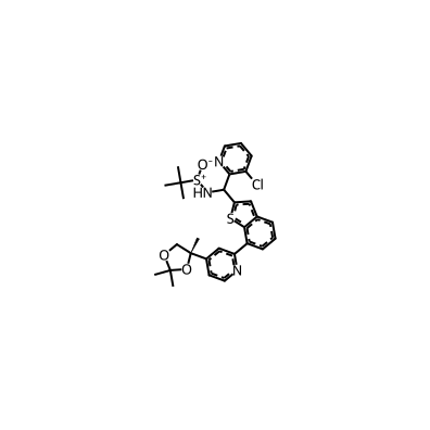 CC1(C)OC[C@](C)(c2ccnc(-c3cccc4cc(C(N[S+]([O-])C(C)(C)C)c5ncccc5Cl)sc34)c2)O1